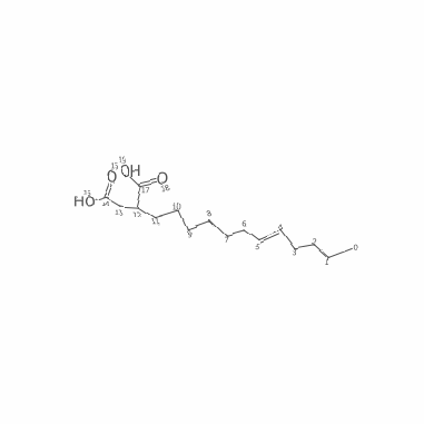 CCCCC=CCCCCCCC(CC(=O)O)C(=O)O